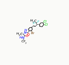 CC(NC(=O)c1ccc(/C=C/C(c2ccc(Cl)c(Cl)c2)C(C)(F)F)cc1Br)C(=O)NCC(F)(F)F